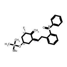 C=C1/C(=C\Cc2ccccc2[PH](=O)c2ccccc2)C[C@@H](O[Si](C)(C)C(C)(C)C)C[C@@H]1F